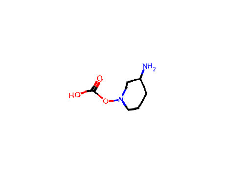 NC1CCCN(OC(=O)O)C1